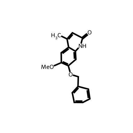 COc1cc2c(C)cc(=O)[nH]c2cc1OCc1ccccc1